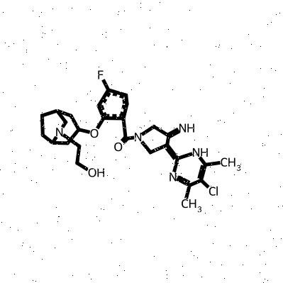 CC1=N/C(=C2\CN(C(=O)c3ccc(F)cc3OC3CC4CCC(C3)N(CCO)C4)CC2=N)NC(C)=C1Cl